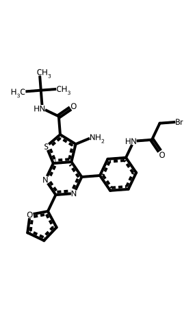 CC(C)(C)NC(=O)c1sc2nc(-c3ccco3)nc(-c3cccc(NC(=O)CBr)c3)c2c1N